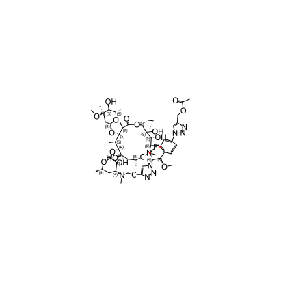 CC[C@H]1OC(=O)[C@H](C)[C@@H](O[C@H]2C[C@@](C)(OC)[C@@H](O)[C@H](C)O2)[C@H](C)[C@@H](O[C@@H]2O[C@H](C)C[C@H](N(C)CCc3cn([C@H](CF)[C@H](OC)c4ccc(-n5cc(COC(C)=O)nn5)cc4)nn3)[C@H]2O)[C@](C)(O)C[C@@H](C)CN(C)[C@H](C)[C@@H](O)[C@]1(C)O